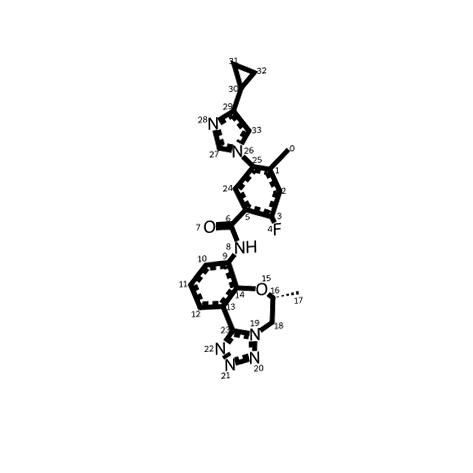 Cc1cc(F)c(C(=O)Nc2cccc3c2O[C@H](C)Cn2nnnc2-3)cc1-n1cnc(C2CC2)c1